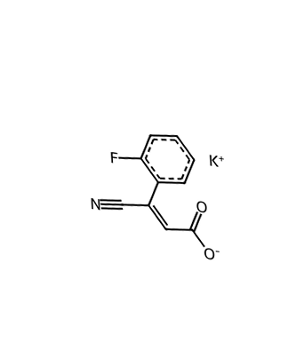 N#C/C(=C/C(=O)[O-])c1ccccc1F.[K+]